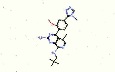 COc1cc(-c2nncn2C)ccc1-c1nc(N)nc2c(NCC(C)(C)C)ncc(C)c12